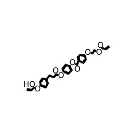 C=CC(=O)OCCOc1ccc(C(=O)Oc2ccc(OC(=O)CCc3ccc(OC(O)C=C)cc3)cc2)cc1